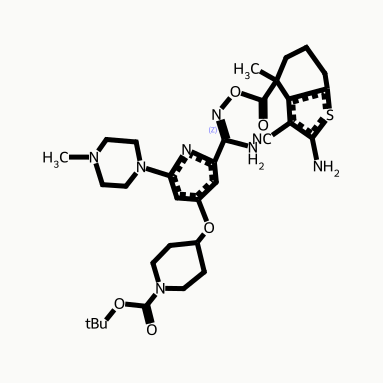 CN1CCN(c2cc(OC3CCN(C(=O)OC(C)(C)C)CC3)cc(/C(N)=N/OC(=O)C3(C)CCCc4sc(N)c(C#N)c43)n2)CC1